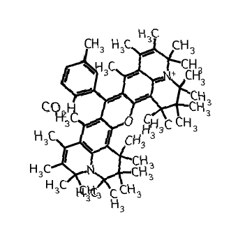 CC1=C(C)C(C)(C)N2c3c1c(C)c1c(c3C(C)(C)C(C)(C)C2(C)C)Oc2c3c4c(c(C)c2=C1c1cc(C)ccc1C(=O)O)C(C)=C(C)C(C)(C)[N+]=4C(C)(C)C(C)(C)C3(C)C